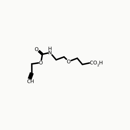 C#CCOC(=O)NCCOCCC(=O)O